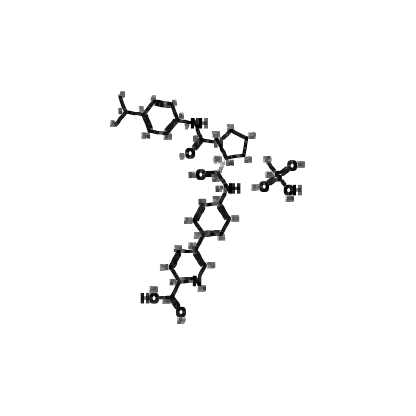 CC(C)c1ccc(NC(=O)N2CCC[C@@H]2C(=O)Nc2ccc(-c3ccc(C(=O)O)nc3)cc2)cc1.CS(=O)(=O)O